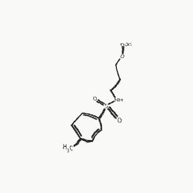 CCCCCCCCOCCCNS(=O)(=O)c1ccc(C)cc1